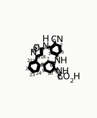 N#Cc1ccc(N[C@@H]2CCCC[C@@H]2NC(=O)O)cc1Nc1cc(-c2ccccc2)no1